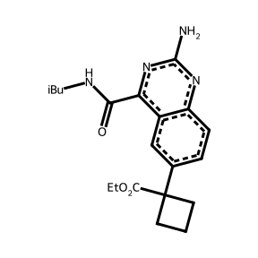 CCOC(=O)C1(c2ccc3nc(N)nc(C(=O)NC(C)CC)c3c2)CCC1